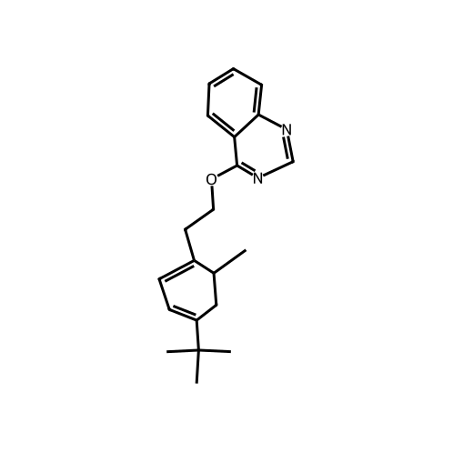 CC1CC(C(C)(C)C)=CC=C1CCOc1ncnc2ccccc12